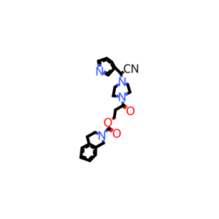 N#CC(c1cccnc1)N1CCN(C(=O)CCOC(=O)N2CCc3ccccc3C2)CC1